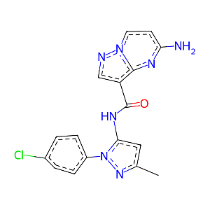 Cc1cc(NC(=O)c2cnn3ccc(N)nc23)n(-c2ccc(Cl)cc2)n1